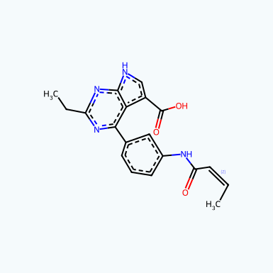 C/C=C\C(=O)Nc1cccc(-c2nc(CC)nc3[nH]cc(C(=O)O)c23)c1